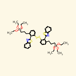 CCO[Si](CCCc1cccc(SSc2cccc(CCC[Si](OCC)(OCC)OCC)c2-c2nc3ccccc3s2)c1-c1nc2ccccc2s1)(OCC)OCC